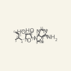 C=CC(C)C[C@H]1O[C@@H](n2cnc3c(N)ncnc32)[C@@H](O)C1O